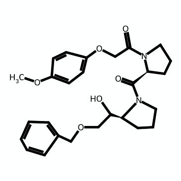 COc1ccc(OCC(=O)N2CCC[C@H]2C(=O)N2CCC[C@H]2C(O)COCc2ccccc2)cc1